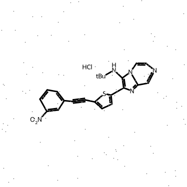 CC(C)(C)Nc1c(-c2ccc(C#Cc3cccc([N+](=O)[O-])c3)s2)nc2cnccn12.Cl